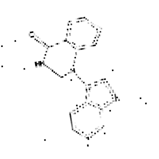 O=C1NCN(c2c[nH]c3ccccc23)c2ccccc21